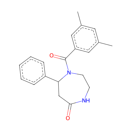 Cc1cc(C)cc(C(=O)N2CCNC(=O)CC2c2ccccc2)c1